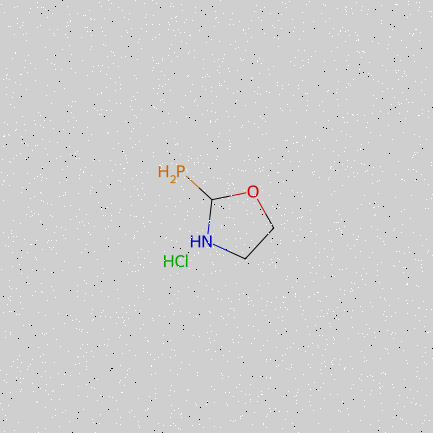 Cl.PC1NCCO1